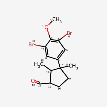 COc1c(Br)cc(C2(C)CCC(C=O)C2C)cc1Br